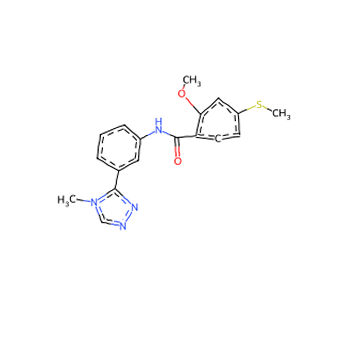 COc1cc(SC)ccc1C(=O)Nc1cccc(-c2nncn2C)c1